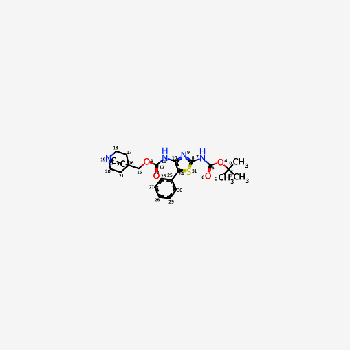 CC(C)(C)OC(=O)Nc1nc(NC(=O)OCC23CCN(CC2)CC3)c(-c2ccccc2)s1